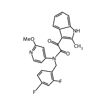 COc1cc(N(Cc2ccc(F)cc2F)C(=O)C(=O)c2c(C)[nH]c3ccccc23)ccn1